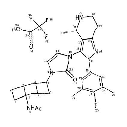 CC(=O)NC12C3C4C1C1C2C3C41n1ccn(-c2c3c(nn2-c2cc(C)c(F)c(C)c2)CCN[C@H]3C)c1=O.O=C(O)C(F)(F)F